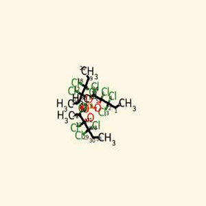 CCC(Cl)(Cl)C(Cl)(OP(=O)(OC(Cl)(C(C)Cl)C(Cl)(Cl)CC)OC(Cl)(C(C)Cl)C(Cl)(Cl)CC)C(C)Cl